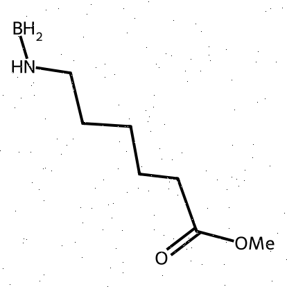 BNCCCCCC(=O)OC